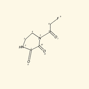 O=C1NCCN(C(=O)CF)C1=O